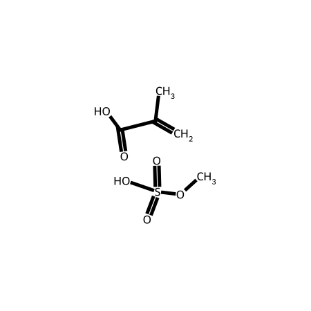 C=C(C)C(=O)O.COS(=O)(=O)O